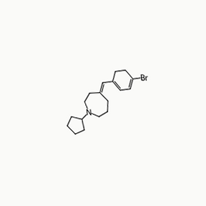 BrC1=CC=C(C=C2CCCN(C3CCCC3)CC2)CC1